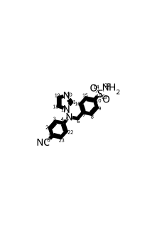 N#Cc1ccc(N(Cc2ccc(S(N)(=O)=O)cc2)n2ccnc2)cc1